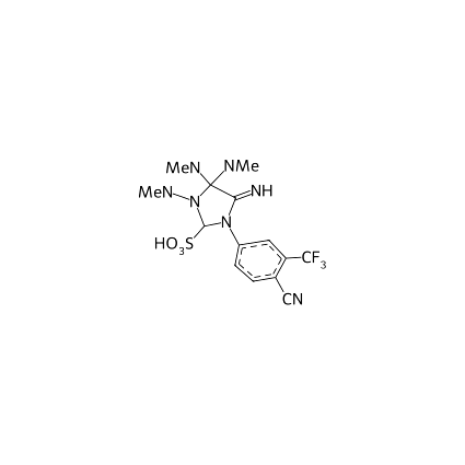 CNN1C(S(=O)(=O)O)N(c2ccc(C#N)c(C(F)(F)F)c2)C(=N)C1(NC)NC